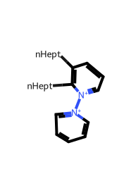 CCCCCCCc1ccc[n+](-[n+]2ccccc2)c1CCCCCCC